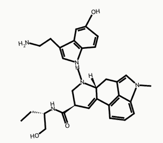 CC[C@@H](CO)NC(=O)[C@@H]1C=C2c3cccc4c3c(cn4C)C[C@H]2N(C)C1.NCCc1c[nH]c2ccc(O)cc12